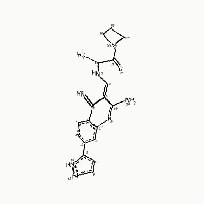 CC(N/C=C1\C(=N)c2ccc(-c3ccn[nH]3)cc2N=C1N)C(=O)N1CCC1